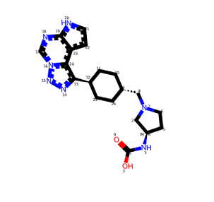 O=C(O)N[C@@H]1CCN(C[C@H]2CC[C@H](c3nnn4cnc5[nH]ccc5c34)CC2)C1